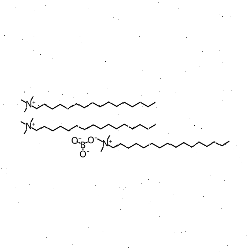 CCCCCCCCCCCCCCCC[N+](C)(C)C.CCCCCCCCCCCCCCCC[N+](C)(C)C.CCCCCCCCCCCCCCCC[N+](C)(C)C.[O-]B([O-])[O-]